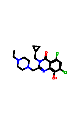 CCN1CCN(Cc2nc3c(O)c(Cl)cc(Cl)c3c(=O)n2CC2CC2)CC1